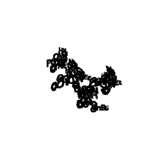 CCCCC(=O)OCOC(=O)c1c(-c2ccccc2)nn(CC)c(=O)c1Nc1cccnc1.CCn1nc(-c2ccccc2)c(C(=O)OC(C)OC(=O)OC2CCCCC2)c(Nc2cccnc2)c1=O.CCn1nc(-c2ccccc2)c(C(=O)OC2COC(=O)O2)c(Nc2cccnc2)c1=O.CCn1nc(-c2ccccc2)c(C(=O)OCF)c(Nc2cccnc2)c1=O